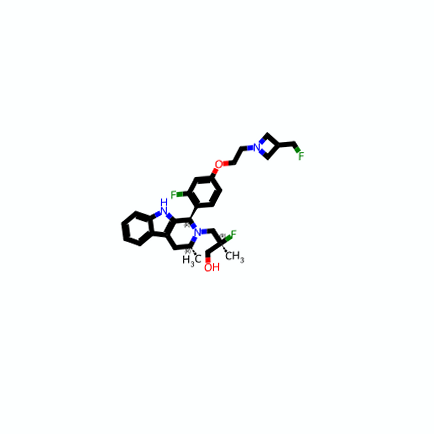 C[C@@H]1Cc2c([nH]c3ccccc23)[C@@H](c2ccc(OCCN3CC(CF)C3)cc2F)N1C[C@@](C)(F)CO